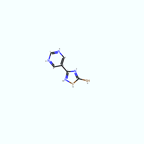 Sc1nc(-c2cncnc2)ns1